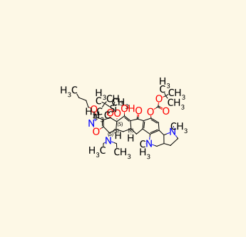 CCCCOc1noc2c1C(=O)[C@@]1(O[Si](C)(C)C(C)(C)C)C(O)=C3C(=O)c4c(OC(=O)OC(C)(C)C)cc5c(c4C[C@H]3C[C@H]1[C@@H]2N(CC)CC)N(C)CC1CCN(C)C51